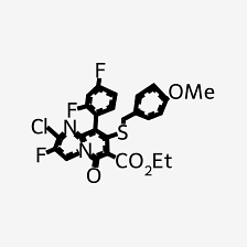 CCOC(=O)c1c(SCc2ccc(OC)cc2)c(-c2ccc(F)cc2F)c2nc(Cl)c(F)cn2c1=O